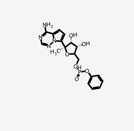 C[C@@]1(c2ccc3c(N)ncnn23)OC(CO[PH](=O)Oc2ccccc2)[C@@H](O)[C@H]1O